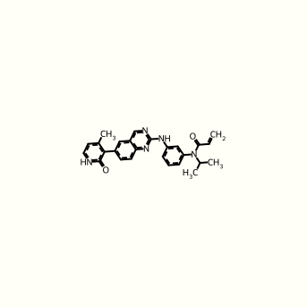 C=CC(=O)N(c1cccc(Nc2ncc3cc(-c4c(C)cc[nH]c4=O)ccc3n2)c1)C(C)C